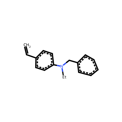 C=Cc1ccc(N(CC)Cc2ccccc2)cc1